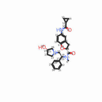 CN(C(=O)[C@H]1Cc2cc(NC(=O)C3CC3)ccc2O1)[C@H](CN1CC[C@H](O)C1)c1ccccc1